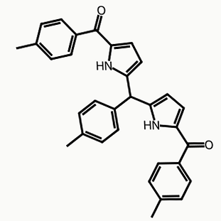 Cc1ccc(C(=O)c2ccc(C(c3ccc(C)cc3)c3ccc(C(=O)c4ccc(C)cc4)[nH]3)[nH]2)cc1